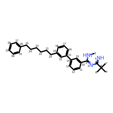 CN/C(=N\C(=N)C(C)(C)C)c1cccc(-c2cccc(CCCCCCc3ccccc3)c2)c1